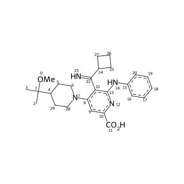 COC(C)(C)C1CCN(c2cc(C(=O)O)nc(Nc3ccccc3)c2C(=N)C2CCC2)CC1